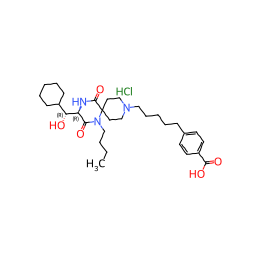 CCCCN1C(=O)[C@@H]([C@H](O)C2CCCCC2)NC(=O)C12CCN(CCCCCc1ccc(C(=O)O)cc1)CC2.Cl